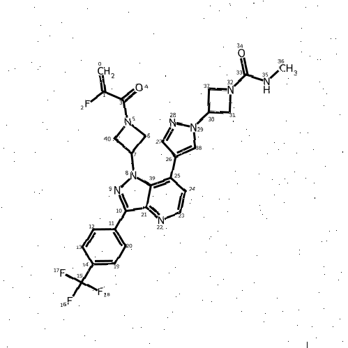 C=C(F)C(=O)N1CC(n2nc(-c3ccc(C(F)(F)F)cc3)c3nccc(-c4cnn(C5CN(C(=O)NC)C5)c4)c32)C1